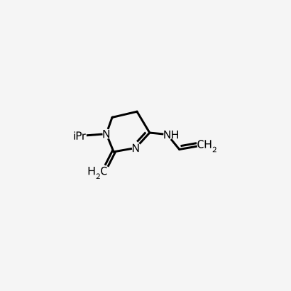 C=CNC1=NC(=C)N(C(C)C)CC1